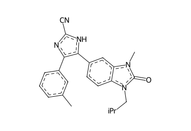 Cc1cccc(-c2nc(C#N)[nH]c2-c2ccc3c(c2)n(C)c(=O)n3CC(C)C)c1